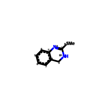 CSC1=Nc2ccccc2CN1